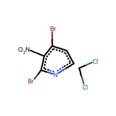 ClCCl.O=[N+]([O-])c1c(Br)ccnc1Br